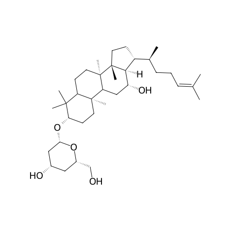 CC(C)=CCC[C@H](C)[C@H]1CC[C@]2(C)[C@@H]1[C@H](O)CC1[C@@]3(C)CC[C@H](O[C@H]4C[C@@H](O)C[C@@H](CO)O4)C(C)(C)C3CC[C@]12C